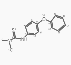 CN(Cl)C(=S)Nc1ccc(Oc2ccccc2)cc1